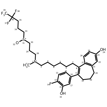 CN(CCCCCCC1=C(c2ccc(F)c(O)c2)CCCc2cc(O)ccc21)CCC[S+]([O-])CCCC(F)(F)C(F)(F)F